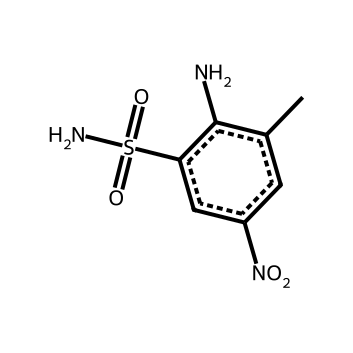 Cc1cc([N+](=O)[O-])cc(S(N)(=O)=O)c1N